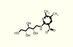 Cc1cc([N+](=O)[O-])c(NC[C@H](O)[C@H](O)[C@H](O)CO)nc1C